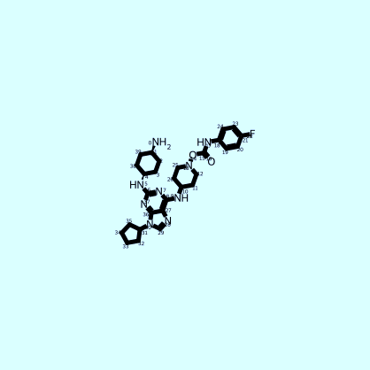 N[C@H]1CC[C@H](Nc2nc(NC3CCN(OC(=O)Nc4ccc(F)cc4)CC3)c3ncn(C4CCCC4)c3n2)CC1